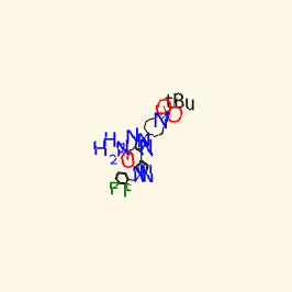 CC(C)(C)OC(=O)N1CCCC(n2nc(-c3cnn(Cc4cccc(F)c4F)c3)c(C(N)=O)c2N)CCC1